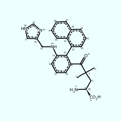 CC(C)(C[C@H](N)C(=O)O)C(=O)c1cccc(NCc2c[nH]cn2)c1-c1cccc2ccccc12